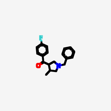 CC1CN(Cc2ccccc2)CC1C(=O)c1ccc(F)cc1